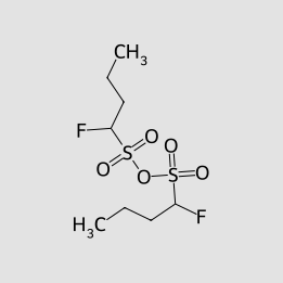 CCCC(F)S(=O)(=O)OS(=O)(=O)C(F)CCC